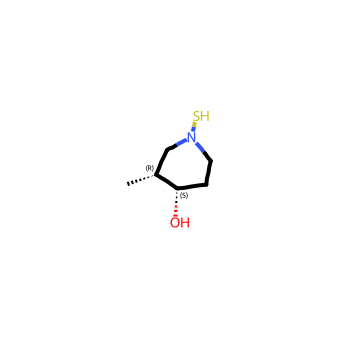 C[C@@H]1CN(S)CC[C@@H]1O